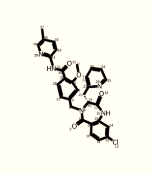 COc1cc(CN2C(=O)c3ccc(Cl)cc3NC(=O)[C@H]2Cc2ccccn2)ccc1C(=O)Nc1ccc(C)cn1